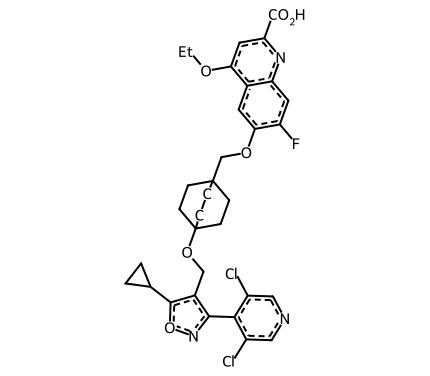 CCOc1cc(C(=O)O)nc2cc(F)c(OCC34CCC(OCc5c(-c6c(Cl)cncc6Cl)noc5C5CC5)(CC3)CC4)cc12